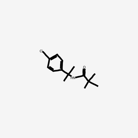 CC(C)(C)C(=O)NC(C)(C)c1ccc(Cl)cc1